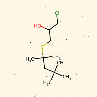 CC(C)(C)CC(C)(C)SCC(O)CCl